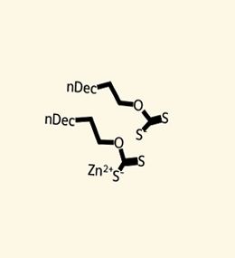 CCCCCCCCCCCCOC(=S)[S-].CCCCCCCCCCCCOC(=S)[S-].[Zn+2]